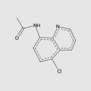 CC(=O)Nc1ccc(Cl)c2cccnc12